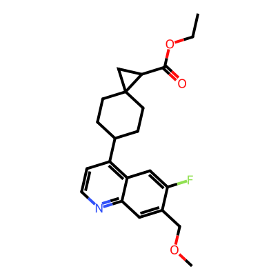 CCOC(=O)C1CC12CCC(c1ccnc3cc(COC)c(F)cc13)CC2